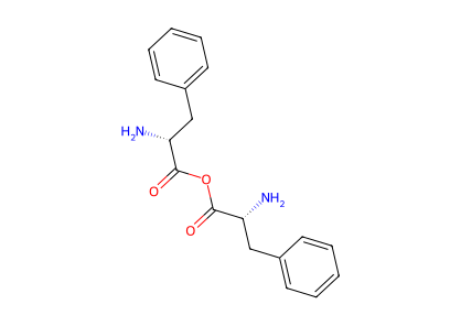 N[C@H](Cc1ccccc1)C(=O)OC(=O)[C@H](N)Cc1ccccc1